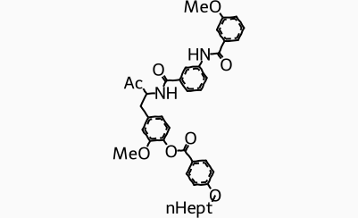 CCCCCCCOc1ccc(C(=O)Oc2ccc(CC(NC(=O)c3cccc(NC(=O)c4cccc(OC)c4)c3)C(C)=O)cc2OC)cc1